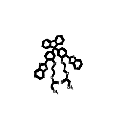 C=CC(=O)OCCOc1cc(C2(c3ccc(-c4nc5ccccc5s4)c(OCCOC(=O)C=C)c3)c3ccccc3-c3ccccc32)ccc1-c1nc2ccccc2s1